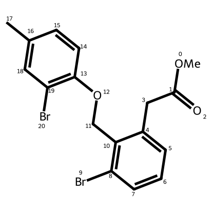 COC(=O)Cc1cccc(Br)c1COc1ccc(C)cc1Br